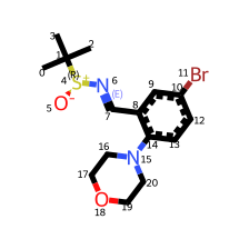 CC(C)(C)[S@+]([O-])/N=C/c1cc(Br)ccc1N1CCOCC1